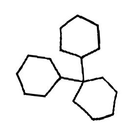 C1CC[C](C2(C3CCCCC3)CCCCC2)CC1